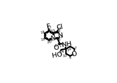 O=C(NC1(CO)CCOCC1)c1nc(Cl)c2c(F)cccn12